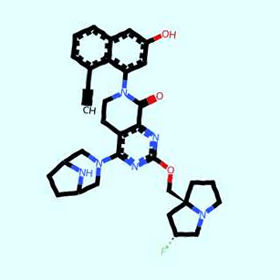 C#Cc1cccc2cc(O)cc(N3CCc4c(nc(OC[C@@]56CCCN5C[C@H](F)C6)nc4N4CC5CCC(C4)N5)C3=O)c12